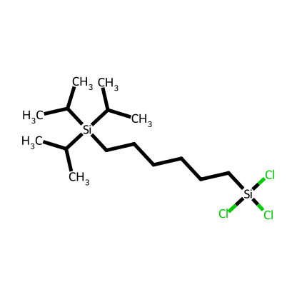 CC(C)[Si](CCCCCC[Si](Cl)(Cl)Cl)(C(C)C)C(C)C